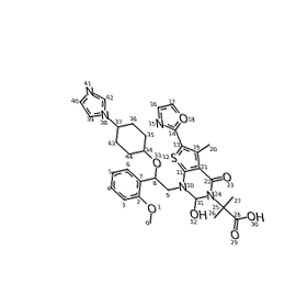 COc1ccccc1C(CN1c2sc(-c3ncco3)c(C)c2C(=O)N(C(C)(C)C(=O)O)C1O)OC1CCC(n2ccnc2)CC1